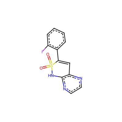 O=S1(=O)Nc2nccnc2C=C1c1ccccc1I